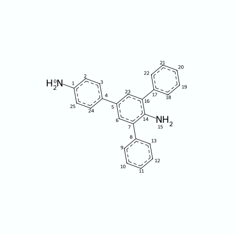 Nc1ccc(-c2cc(-c3ccccc3)c(N)c(-c3ccccc3)c2)cc1